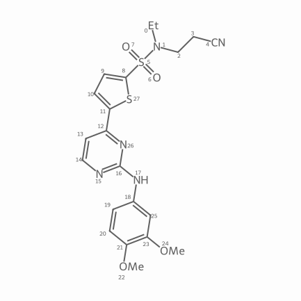 CCN(CCC#N)S(=O)(=O)c1ccc(-c2ccnc(Nc3ccc(OC)c(OC)c3)n2)s1